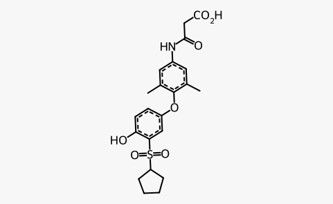 Cc1cc(NC(=O)CC(=O)O)cc(C)c1Oc1ccc(O)c(S(=O)(=O)C2CCCC2)c1